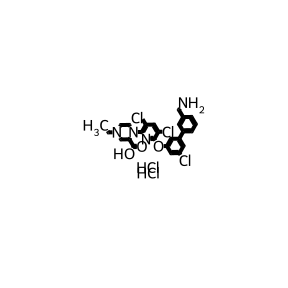 CCN1CCN(c2nc(Oc3cc(Cl)cc(-c4cccc(CN)c4)c3)c(Cl)cc2Cl)C(C(=O)O)C1.Cl.Cl